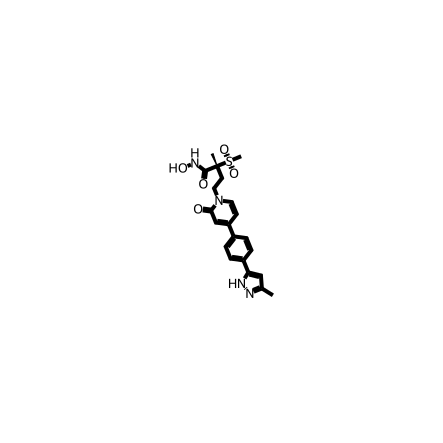 Cc1cc(-c2ccc(-c3ccn(CC[C@](C)(C(=O)NO)S(C)(=O)=O)c(=O)c3)cc2)[nH]n1